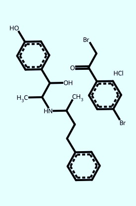 CC(CCc1ccccc1)NC(C)C(O)c1ccc(O)cc1.Cl.O=C(CBr)c1ccc(Br)cc1